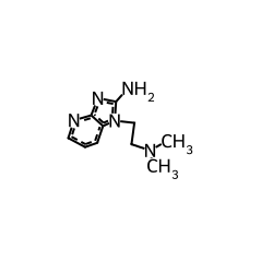 CN(C)CCn1c(N)nc2ncccc21